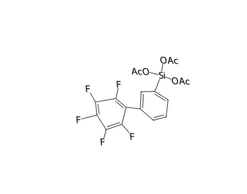 CC(=O)O[Si](OC(C)=O)(OC(C)=O)c1cccc(-c2c(F)c(F)c(F)c(F)c2F)c1